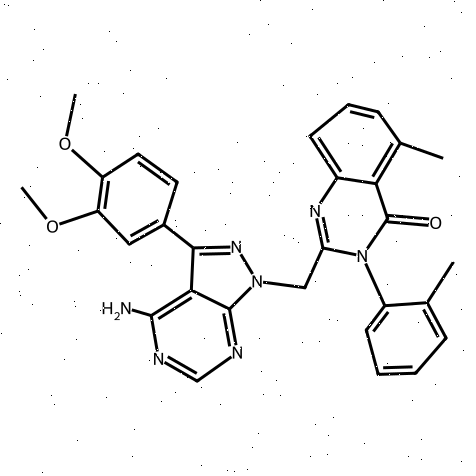 COc1ccc(-c2nn(Cc3nc4cccc(C)c4c(=O)n3-c3ccccc3C)c3ncnc(N)c23)cc1OC